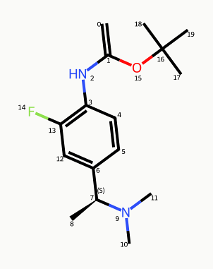 C=C(Nc1ccc([C@H](C)N(C)C)cc1F)OC(C)(C)C